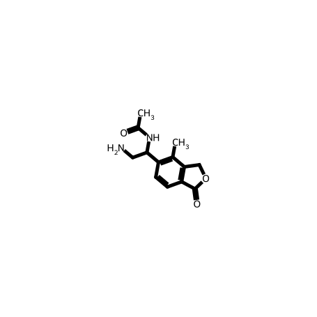 CC(=O)NC(CN)c1ccc2c(c1C)COC2=O